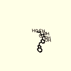 CC(CO)C1OC(c2cc(Cc3cc4cccccc-4c3)ccc2O)C(O)C1O